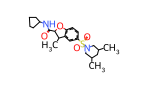 CC1CC(C)CN(S(=O)(=O)c2ccc3c(c2)C(C)C(C(=O)NC2CCCC2)O3)C1